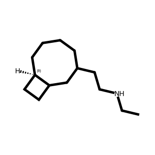 CCNCCC1CCCC[C@@H]2CCC2C1